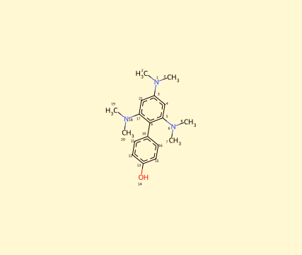 CN(C)c1cc(N(C)C)c(-c2ccc(O)cc2)c(N(C)C)c1